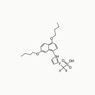 CCCCOc1ccc2c(OCCCC)ccc([SH]3C=CC=C3)c2c1.O=S(=O)(O)C(F)(F)F